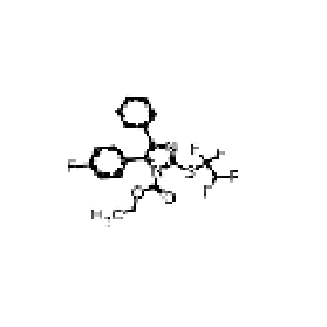 CCOC(=O)n1c(SC(F)(F)C(F)F)nc(-c2ccccc2)c1-c1ccc(F)cc1